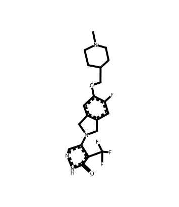 CN1CCC(COc2cc3c(cc2F)CN(c2cn[nH]c(=O)c2C(F)(F)F)C3)CC1